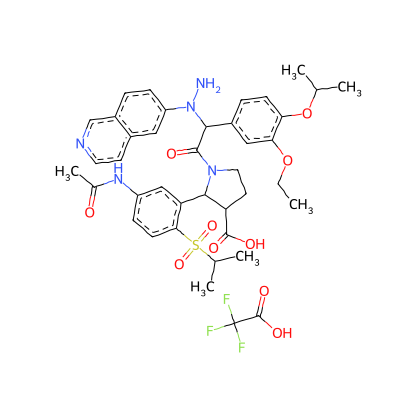 CCOc1cc(C(C(=O)N2CCC(C(=O)O)C2c2cc(NC(C)=O)ccc2S(=O)(=O)C(C)C)N(N)c2ccc3cnccc3c2)ccc1OC(C)C.O=C(O)C(F)(F)F